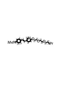 CNc1ccc(/C=C/c2ccc(OCCOCCOCCC(C)C)nc2)cc1